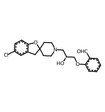 O=Cc1ccccc1OC[C@@H](O)CN1CCC2(CC1)Cc1cc(Cl)ccc1O2